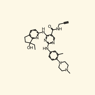 C#CCNC(=O)c1cnc(Nc2ccc(N3CCN(C)CC3)c(C)c2)nc1Nc1ccc2c(n1)C(O)(CC)CC2